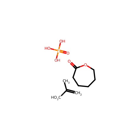 C=C(C)C(=O)O.O=C1CCCCCO1.O=P(O)(O)O